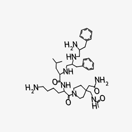 CC(=O)NCC1(CC(N)=O)CCN(C(=O)C(CCCCN)NC(=O)C(CC(C)C)NCC(Cc2ccccc2)NCC(N)Cc2ccccc2)CC1